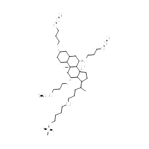 CC(CCCNCCCCOS(C)(=O)=O)C1CC[C@H]2C3[C@H](OCCCN=[N+]=[N-])CC4C[C@H](OCCCN=[N+]=[N-])CC[C@]4(C)[C@H]3C[C@H](OCCCN=[N+]=[N-])[C@]12C